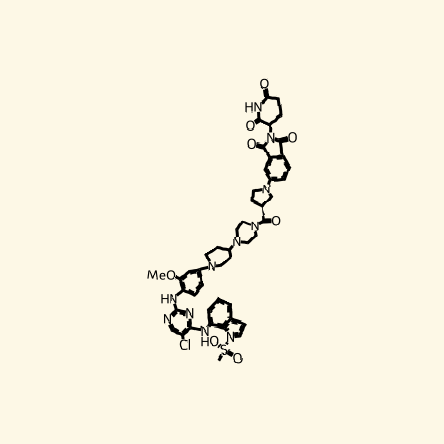 COc1cc(N2CCC(N3CCN(C(=O)[C@H]4CCN(c5ccc6c(c5)C(=O)N(C5CCC(=O)NC5=O)C6=O)C4)CC3)CC2)ccc1Nc1ncc(Cl)c(Nc2cccc3ccn(S(C)(=O)=O)c23)n1